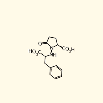 O=C(O)[C@H](Cc1ccccc1)NN1C(=O)CC[C@H]1C(=O)O